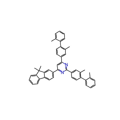 Cc1ccccc1-c1ccc(-c2cc(-c3ccc4c(c3)C(C)(C)c3ccccc3-4)nc(-c3ccc(-c4ccccc4C)c(C)c3)n2)cc1C